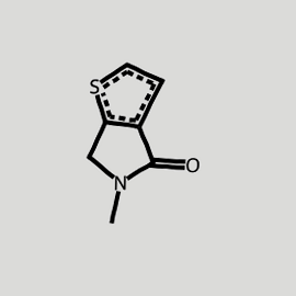 CN1Cc2sccc2C1=O